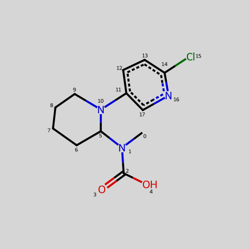 CN(C(=O)O)C1CCCCN1c1ccc(Cl)nc1